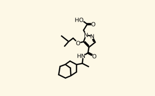 CC(C)COc1c(C(=O)NC(C)C2CC3CCCC(C3)C2)cnn1CC(=O)O